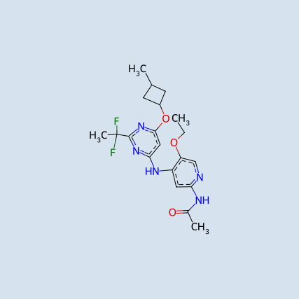 CCOc1cnc(NC(C)=O)cc1Nc1cc(OC2CC(C)C2)nc(C(C)(F)F)n1